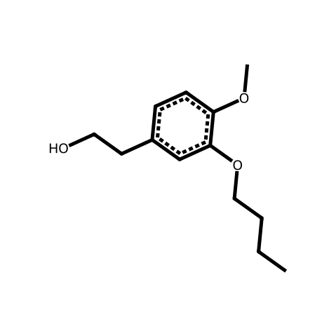 CCCCOc1cc(CCO)ccc1OC